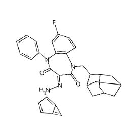 NN=c1c(=O)n(CC2C3CC4CC(C3)CC2C4)c2ccc(F)cc2n(-c2ccccc2)c1=O.c1cc2cc-2c1